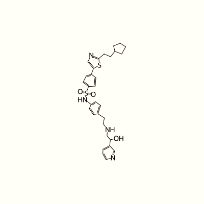 O=S(=O)(Nc1ccc(CCNCC(O)c2cccnc2)cc1)c1ccc(-c2cnc(CCC3CCCC3)s2)cc1